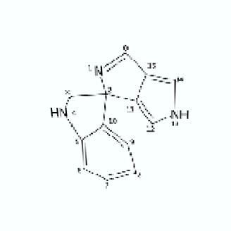 C1=NC2(CNc3ccccc32)c2c[nH]cc21